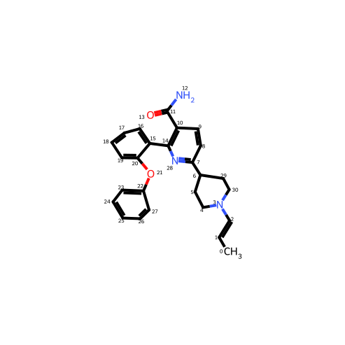 CC=CN1CCC(c2ccc(C(N)=O)c(-c3ccccc3Oc3ccccc3)n2)CC1